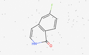 O=c1[nH]ccc2cc(F)[c]cc12